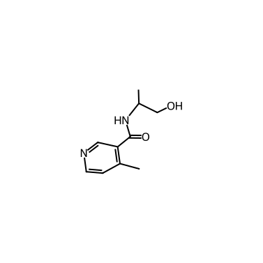 Cc1ccncc1C(=O)NC(C)CO